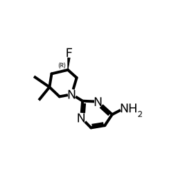 CC1(C)C[C@@H](F)CN(c2nccc(N)n2)C1